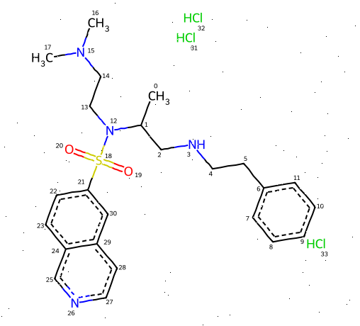 CC(CNCCc1ccccc1)N(CCN(C)C)S(=O)(=O)c1ccc2cnccc2c1.Cl.Cl.Cl